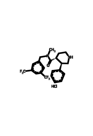 CN(Cc1cc(C(F)(F)F)cc(C(F)(F)F)c1)C(=O)[C@@H]1CCNC[C@H]1c1ccccc1.Cl